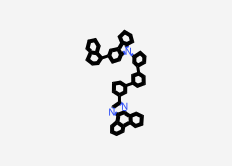 c1cc(-c2cccc(-c3cnc4c5ccccc5c5ccccc5c4n3)c2)cc(-c2cccc(-n3c4ccccc4c4cc(-c5cccc6ccccc56)ccc43)c2)c1